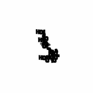 CCOC(C)O[C@@H]1[C@@H](C=CC(C)=CC[C@@H]2O[C@H](C)[C@H](NC(=O)C=C[C@H](C)O)C[C@@H]2C)O[C@H](CC(=O)O)C[C@@]12CO2